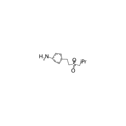 CC(C)CS(=O)(=O)CCc1ccc(N)cc1